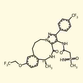 C[C@@H]1NC(=O)c2c(NC(=O)CS(C)(=N)=O)c(-c3ccc(C(F)(F)F)cc3)nn2CCCc2cc(OCC(F)(F)F)ccc21